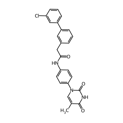 Cc1cn(-c2ccc(NC(=O)Cc3cccc(-c4cccc(Cl)c4)c3)cc2)c(=O)[nH]c1=O